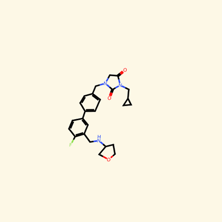 O=C1CN(Cc2ccc(-c3ccc(F)c(CNC4CCOC4)c3)cc2)C(=O)N1CC1CC1